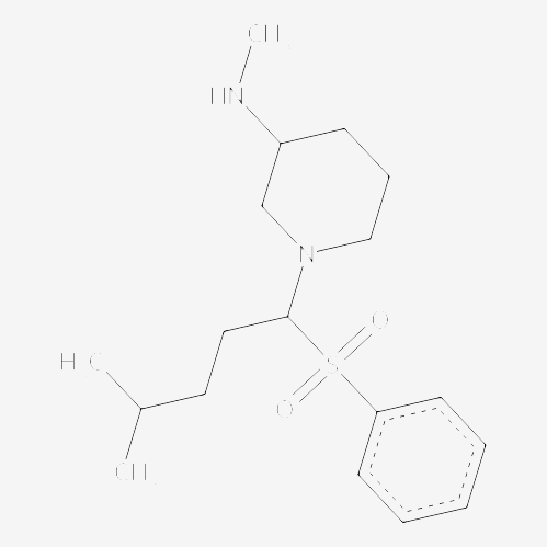 CNC1CCCN(C(CCC(C)C)S(=O)(=O)c2ccccc2)C1